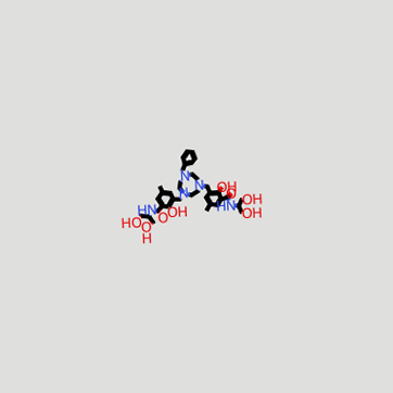 Cc1cc(CN2CCN(Cc3ccccc3)CCN(Cc3cc(C)cc(C(=O)NC(CO)CO)c3O)CC2)c(O)c(C(=O)NC(CO)CO)c1